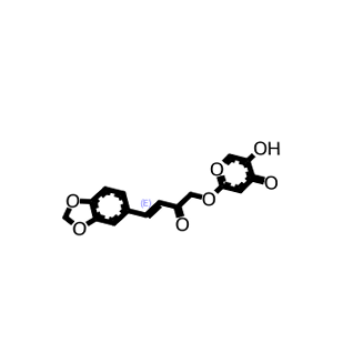 O=C(/C=C/c1ccc2c(c1)OCO2)COc1cc(=O)c(O)co1